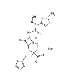 Nc1nc(C(=NO)C(=O)NC2C(=O)N3CC(CSc4ncns4)(C(=O)[O-])CS[C@H]23)cs1.[Na+]